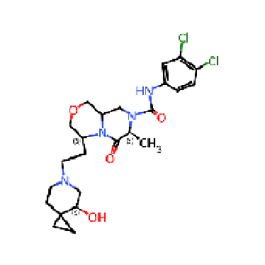 C[C@H]1C(=O)N2C(COC[C@@H]2CCN2CCC3(CC3)[C@H](O)C2)CN1C(=O)Nc1ccc(Cl)c(Cl)c1